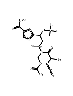 CCCC(=O)OCN(C(=O)C(N=[N+]=[N-])C(C)CC)[C@H](CC(O[Si](CC)(CC)CC)c1nc(C(=O)OC)cs1)C(C)C